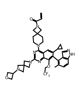 C=CC(=O)N1CC2(CCN(c3nc(N4CC5(C4)CN(C4COC4)C5)nc4c(OCC(F)(F)F)c(-c5c(C)ccc6[nH]ncc56)c(C5CC5)cc34)CC2)C1